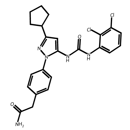 NC(=O)Cc1ccc(-n2nc(C3CCCC3)cc2NC(=O)Nc2cccc(Cl)c2Cl)cc1